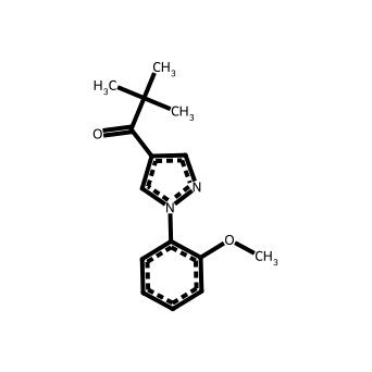 COc1ccccc1-n1cc(C(=O)C(C)(C)C)cn1